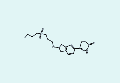 CCCCS(=O)(=O)CCCNC1Cc2ccc(C3=NNC(=O)CC3)cc2C1